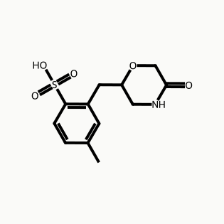 Cc1ccc(S(=O)(=O)O)c(CC2CNC(=O)CO2)c1